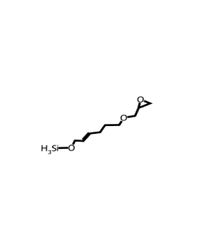 [SiH3]OCC=CCCCOCC1CO1